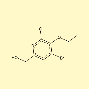 CCOc1c(Br)cc(CO)nc1Cl